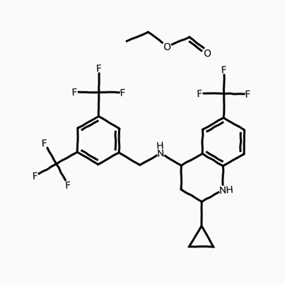 CCOC=O.FC(F)(F)c1cc(CNC2CC(C3CC3)Nc3ccc(C(F)(F)F)cc32)cc(C(F)(F)F)c1